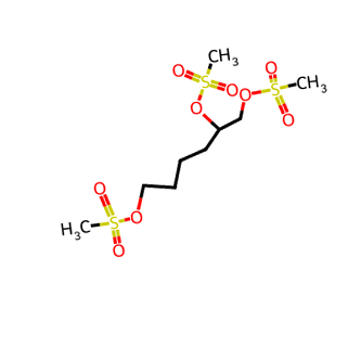 CS(=O)(=O)OCCCCC(COS(C)(=O)=O)OS(C)(=O)=O